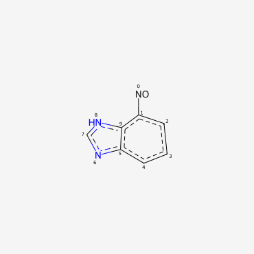 O=Nc1cccc2nc[nH]c12